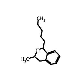 CCCCCC1OC(C)Cc2ccccc21